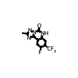 Cc1nc2c3cc(F)c(C(F)(F)F)cc3[nH]c(=O)n2n1